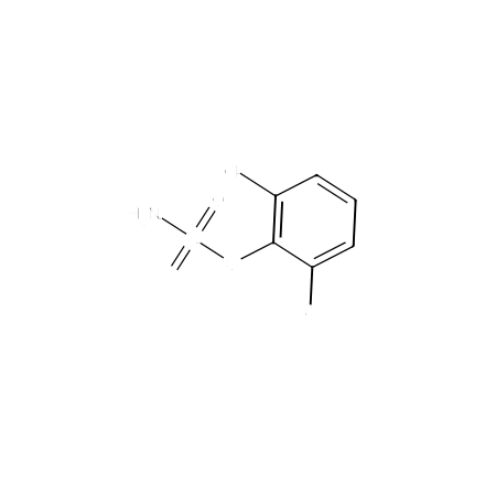 NS(=O)(=O)Oc1c(Cl)cccc1Cl